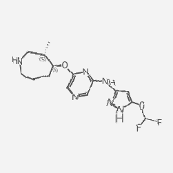 C[C@H]1CNCCC[C@@H]1Oc1cncc(Nc2cc(OC(F)F)[nH]n2)n1